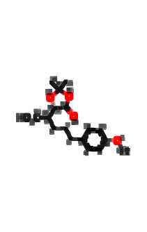 CCOc1ccc(CCC[C@@H](C(=O)O)[C@@H]2OC(C)(C)OC2=O)cc1